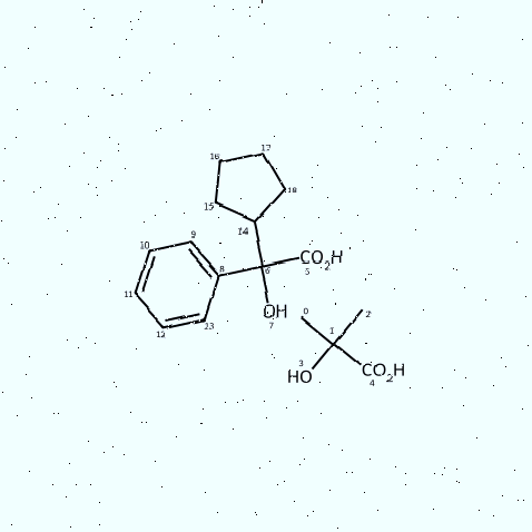 CC(C)(O)C(=O)O.O=C(O)C(O)(c1ccccc1)C1CCCC1